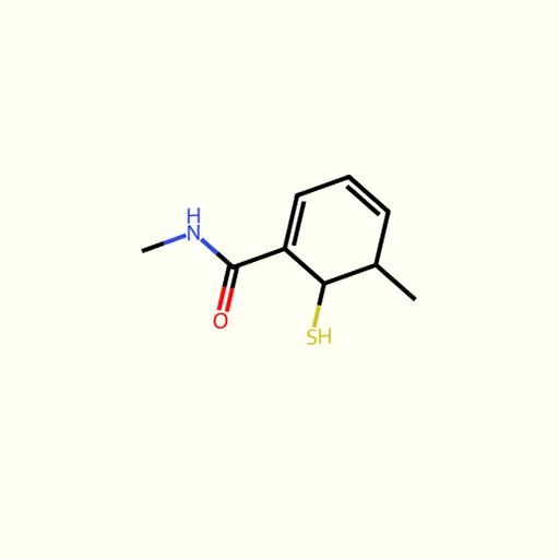 CNC(=O)C1=CC=CC(C)C1S